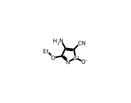 CCOc1n[s+]([O-])c(C#N)c1N